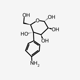 Nc1ccc([C@]2(O)[C@H](O)[C@H](O)[C@@H](O)O[C@@H]2CO)cc1